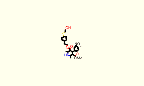 COC(=O)C1=C(C)NC(C)=C(C(=O)OCCc2ccc(SCCO)cc2)C1c1cccc([N+](=O)[O-])c1